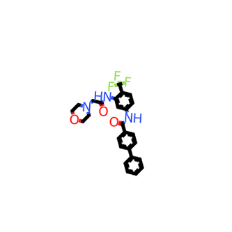 O=C(CN1CCOCC1)Nc1cc(NC(=O)c2ccc(-c3ccccc3)cc2)ccc1C(F)(F)F